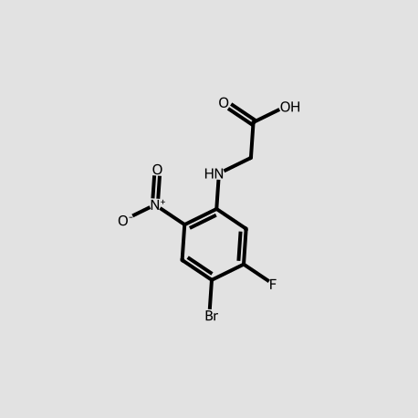 O=C(O)CNc1cc(F)c(Br)cc1[N+](=O)[O-]